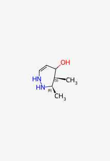 C[C@@H]1C(O)C=CNN[C@@H]1C